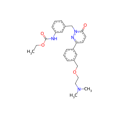 CCOC(=O)Nc1cccc(Cn2nc(-c3cccc(COCCN(C)C)c3)ccc2=O)c1